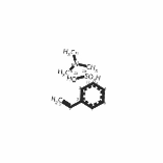 C=Cc1ccccc1.CN(C)C.O=S(=O)(O)O